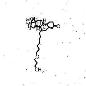 C=CCCOCCCCCCC[C@@H]1CC2=CC(=O)CC[C@]2(C)[C@H]2CC[C@@]3(C)[C@@H](CC[C@]3(C)O)[C@H]12